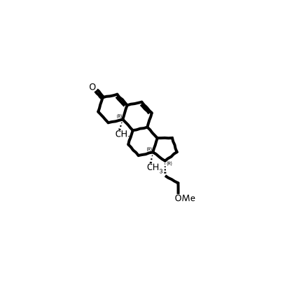 COCC[C@H]1CCC2C3C=CC4=CC(=O)CC[C@]4(C)C3CC[C@@]21C